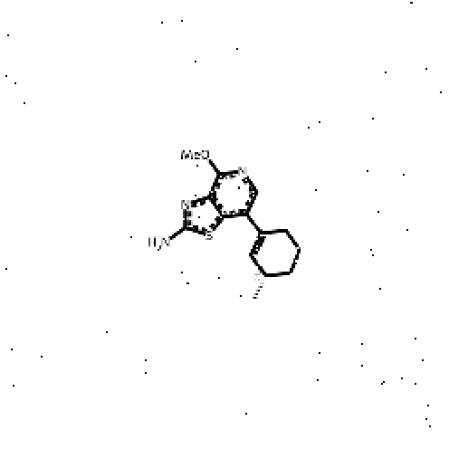 COc1ncc(C2=C[C@@H](C)CCC2)c2sc(N)nc12